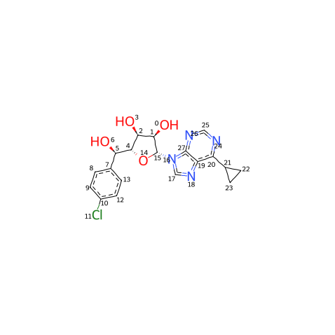 O[C@@H]1[C@H](O)[C@@H]([C@H](O)c2ccc(Cl)cc2)O[C@H]1n1cnc2c(C3CC3)ncnc21